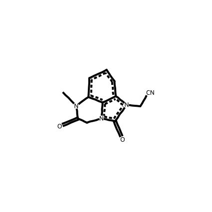 CN1C(=O)Cn2c(=O)n(CC#N)c3cccc1c32